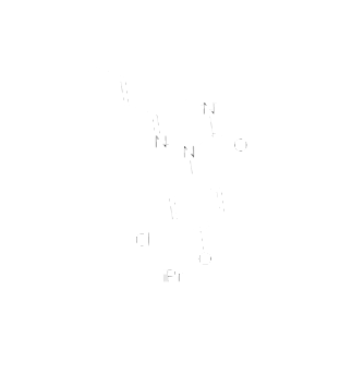 CC=CC=NN(C(=O)N(C)C)c1ccc(OC(C)C)c(Cl)c1